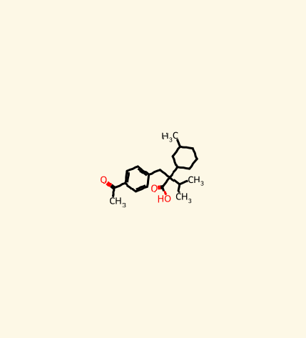 CC(=O)c1ccc(CC(C(=O)O)(C(C)C)C2CCCC(C)C2)cc1